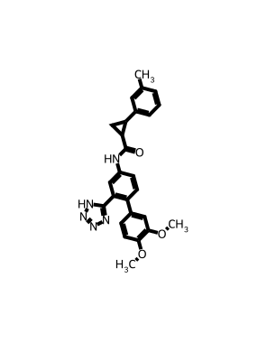 COc1ccc(-c2ccc(NC(=O)C3CC3c3cccc(C)c3)cc2-c2nnn[nH]2)cc1OC